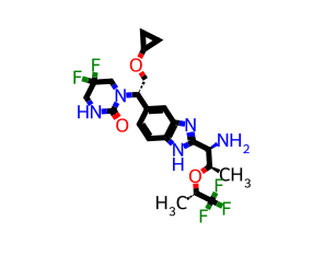 C[C@H](O[C@H](C)[C@H](N)c1nc2cc([C@@H](COC3CC3)N3CC(F)(F)CNC3=O)ccc2[nH]1)C(F)(F)F